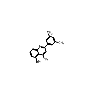 CCCc1cccc2nc(-c3cc(C)cc(C)c3)cc(CCC)c12